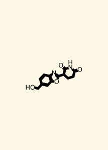 O=C1CCC(c2nc3ccc(CO)cc3o2)C(=O)N1